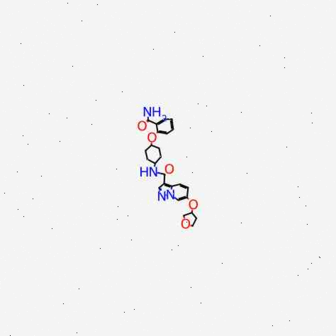 NC(=O)c1ccccc1OC1CCC(NC(=O)c2cnn3cc(OC4CCOC4)ccc23)CC1